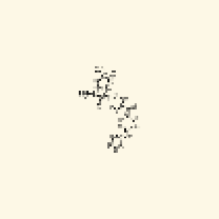 Nn1c(=O)n(C2CCN(C(=O)C3CCN(Cc4ccncc4)CC3)CC2)c2cc(Cl)c(Cl)cc21